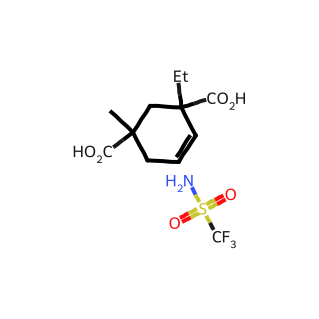 CCC1(C(=O)O)C=CCC(C)(C(=O)O)C1.NS(=O)(=O)C(F)(F)F